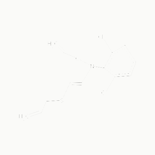 C=CCSC=CN(CC=C)c1c(Cl)cccc1Cl